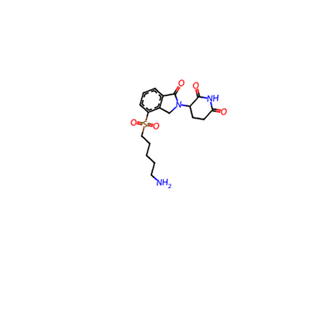 NCCCCCS(=O)(=O)c1cccc2c1CN(C1CCC(=O)NC1=O)C2=O